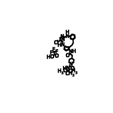 CC(C)(C)NC(=O)N1CCC(CC(=O)Nc2ccc3cc2CCc2cccc(c2)Nc2ncc(Cl)c(n2)N3)CC1.O=C(O)C(F)(F)F